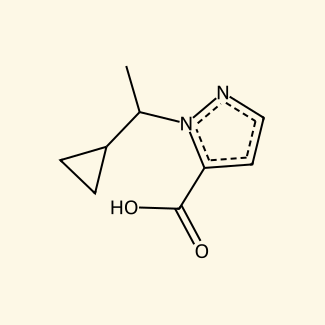 CC(C1CC1)n1nccc1C(=O)O